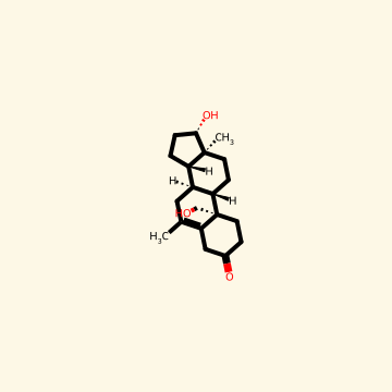 CC1=C2CC(=O)CC[C@]2(CO)[C@H]2CC[C@]3(C)[C@@H](O)CC[C@H]3[C@@H]2C1